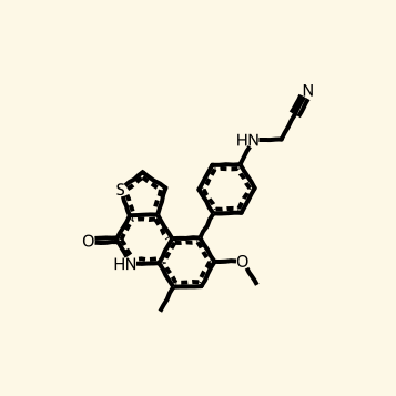 COc1cc(C)c2[nH]c(=O)c3sccc3c2c1-c1ccc(NCC#N)cc1